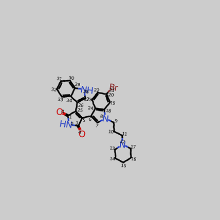 O=C1NC(=O)C(c2cn(CCCN3CCCCC3)c3cc(Br)ccc23)=C1c1c[nH]c2ccccc12